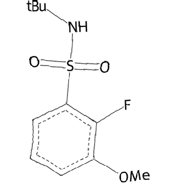 COc1cccc(S(=O)(=O)NC(C)(C)C)c1F